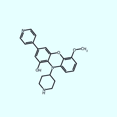 COc1cccc2c1Oc1cc(-c3ccncc3)cc(O)c1N2C1CCNCC1